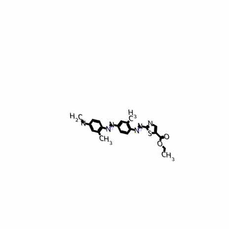 C=Nc1ccc(/N=N/c2ccc(/N=N/c3ncc(C(=O)OCC)s3)c(C)c2)c(C)c1